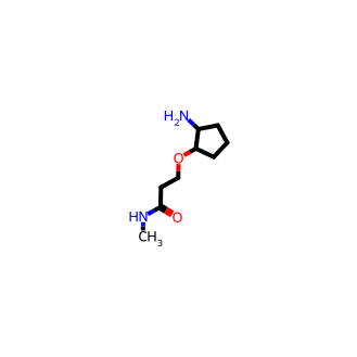 CNC(=O)CCOC1CCCC1N